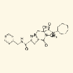 CN1C(=O)c2cc(C(=O)NCc3ccccc3)nn2CC1(C)C(=O)NC1CCCCCC1